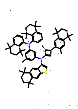 Cc1cc(N(C2=CC(c3cc4c(cc3C)C(C)(C)CCC4(C)C)[C@@H]2C)c2csc3cc4c(cc23)C(C)(C)CCC4(C)C)cc(N(c2cccc3c2C(C)(C)CCC3(C)C)c2cccc3c2C(C)(C)CCC3(C)C)c1